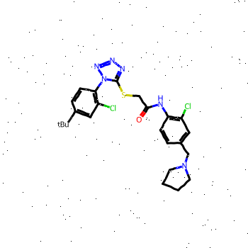 CC(C)(C)c1ccc(-n2nnnc2SCC(=O)Nc2ccc(CN3CCCC3)cc2Cl)c(Cl)c1